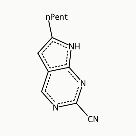 CCCCCc1cc2cnc(C#N)nc2[nH]1